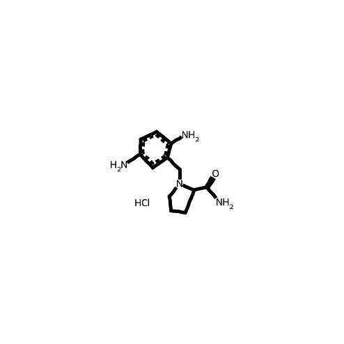 Cl.NC(=O)C1CCCN1Cc1cc(N)ccc1N